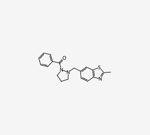 Cc1nc2ccc(CN3CCCN3C(=O)c3ccccc3)cc2s1